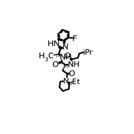 CC[C@H]1CCCCN1C(=O)C[C@H](NC(=O)CCC(C)C)C(=O)N[C@@H](C)c1nc2c(F)cccc2[nH]1